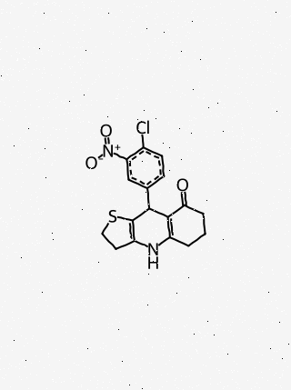 O=C1CCCC2=C1C(c1ccc(Cl)c([N+](=O)[O-])c1)C1=C(CCS1)N2